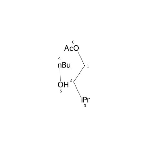 CC(=O)OCCC(C)C.CCCCO